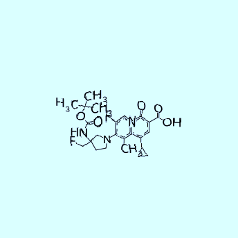 Cc1c(N2CCC(CF)(NC(=O)OC(C)(C)C)C2)c(F)cn2c(=O)c(C(=O)O)cc(C3CC3)c12